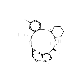 C[C@H]1Nc2ccn3ncc(c3n2)C(=O)N[C@@H]2CCCC[C@H]2Oc2ccc(F)cc21